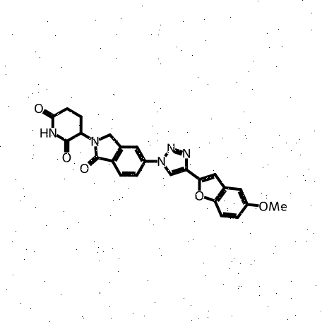 COc1ccc2oc(-c3cn(-c4ccc5c(c4)CN(C4CCC(=O)NC4=O)C5=O)nn3)cc2c1